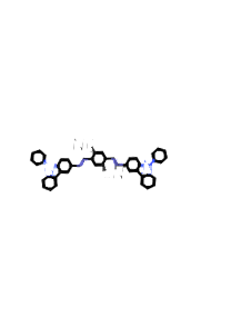 N#Cc1cc(/C=C/c2ccc3c(c2)c2ccccc2n3-c2ccccc2)c(C#N)cc1/C=C/c1ccc2c(c1)c1ccccc1n2-c1ccccc1